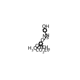 CCOC(=O)C(C)(C)Oc1ccc(OCc2nc(-c3ccc(O)cc3)ns2)cc1C